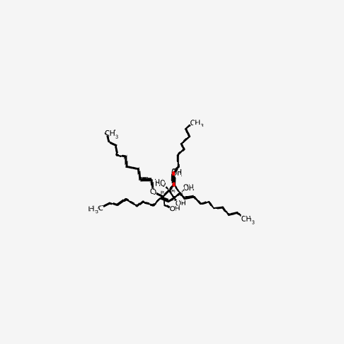 CCCCCCCC=CO[C@H](CO)[C@](O)(C=CCCCCCCC)[C@@](O)(C=CCCCCCCC)[C@](O)(C=CCCCCCCC)CO